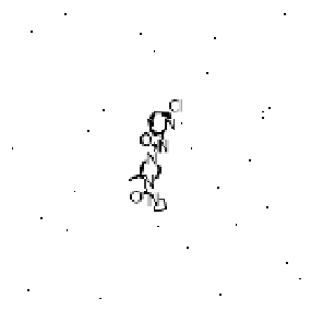 CC1CN(c2nc3nc(Cl)ccc3o2)CCN1C(=O)N1CCC1